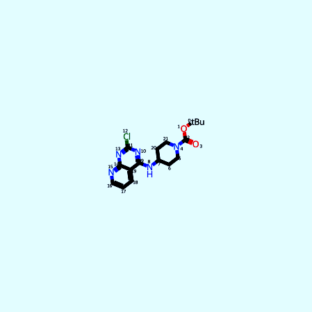 CC(C)(C)OC(=O)N1CCC(Nc2nc(Cl)nc3ncccc23)CC1